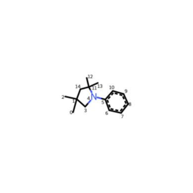 CC1(C)CN(c2ccccc2)C(C)(C)C1